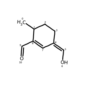 CC1CCC(=CO)C=C1C=O